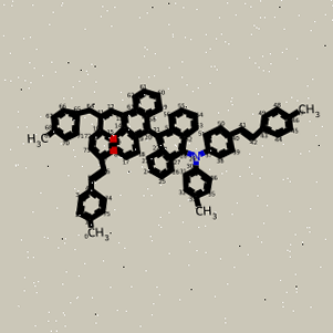 Cc1ccc(/C=C/c2ccc(/C(=C\c3c4ccccc4c(-c4c5ccccc5c(N(c5ccc(C)cc5)c5ccc(/C=C/c6ccc(C)cc6)cc5)c5ccccc45)c4ccccc34)Cc3ccc(C)cc3)cc2)cc1